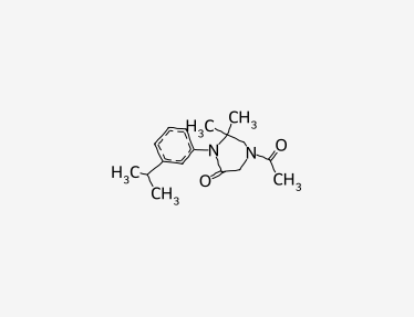 CC(=O)N1CC(=O)N(c2cccc(C(C)C)c2)C(C)(C)C1